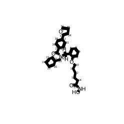 [2H]C([2H])(c1ccccc1OCCCCCC(=O)NO)N(Cc1ccccc1)C(=O)c1ccc(-c2ccco2)cc1